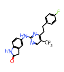 O=C1Cc2cc(Nc3ncc(C(F)(F)F)c(CCc4ccc(F)cc4)n3)ccc2N1